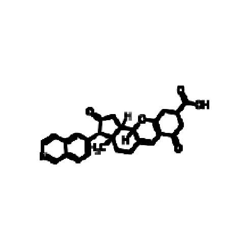 C[C@]12CCC3=CC4=C(CC(C(=O)O)CC4=O)O[C@H]3[C@@H]1CC(=O)[C@@H]2c1ccc2cnccc2c1